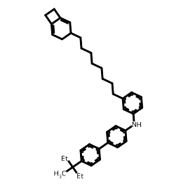 CCC(C)(CC)c1ccc(-c2ccc(Nc3cccc(CCCCCCCCC4C=C5CCC5=CC4)c3)cc2)cc1